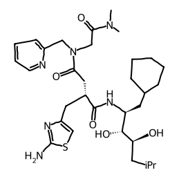 CC(C)C[C@H](O)[C@H](O)[C@H](CC1CCCCC1)NC(=O)[C@@H](CC(=O)N(CC(=O)N(C)C)Cc1ccccn1)Cc1csc(N)n1